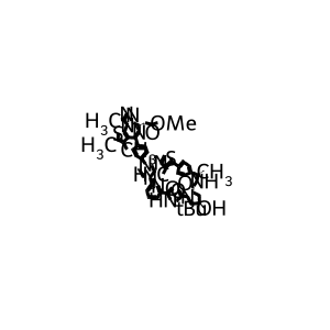 COC(=O)C[C@@H]1N=C(c2ccc(N3CCN(c4cccc(C(=O)N[C@H](C(=O)N5C[C@H](O)C[C@H]5C(=O)N[C@@H](C)c5ccc(-c6scnc6C)cc5)C(C)(C)C)n4)CC3)cc2)c2c(sc(C)c2C)-n2c(C)nnc21